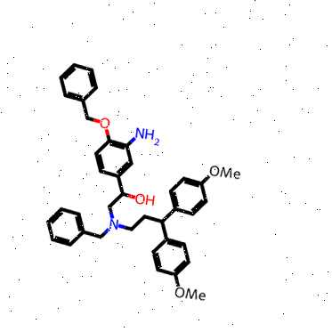 COc1ccc(C(CCN(Cc2ccccc2)CC(O)c2ccc(OCc3ccccc3)c(N)c2)c2ccc(OC)cc2)cc1